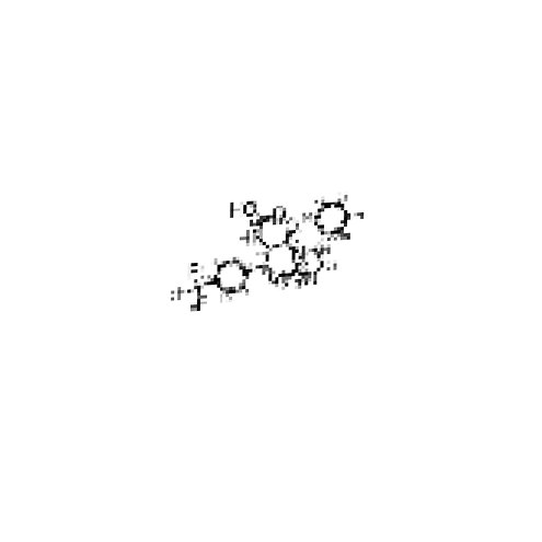 CC(c1ccc(C(F)(F)F)cc1)C(NC(=O)O)C(=O)N1C(=O)OC[C@H]1c1ccccc1